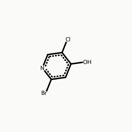 Oc1cc(Br)ncc1Cl